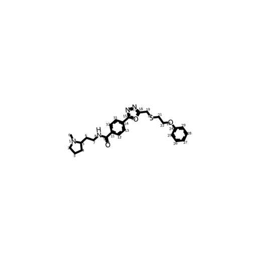 CN1CCCC1CCNC(=O)c1ccc(-c2nnc(CSCCOc3ccccc3)o2)cc1